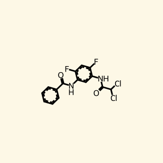 O=C(Nc1cc(NC(=O)C(Cl)Cl)c(F)cc1F)c1ccccc1